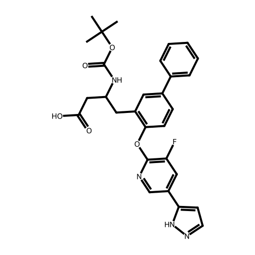 CC(C)(C)OC(=O)NC(CC(=O)O)Cc1cc(-c2ccccc2)ccc1Oc1ncc(-c2ccn[nH]2)cc1F